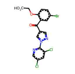 O=C(O)COc1ccc(Br)cc1C(=O)c1cnn(-c2ncc(Cl)cc2Cl)c1